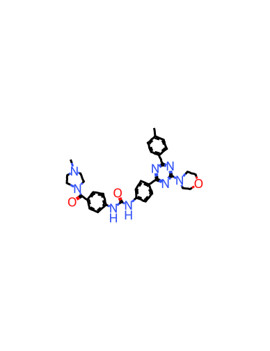 Cc1ccc(-c2nc(-c3ccc(NC(=O)Nc4ccc(C(=O)N5CCN(C)CC5)cc4)cc3)nc(N3CCOCC3)n2)cc1